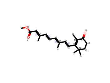 COC(=O)/C=C(C)/C=C/C=C(C)/C=C/C1=C(C)C(=O)CCC1(C)C